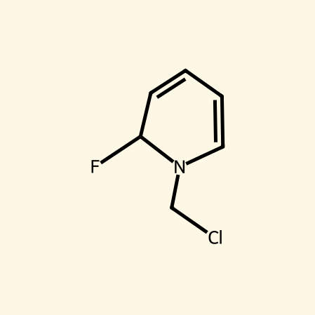 FC1C=CC=CN1CCl